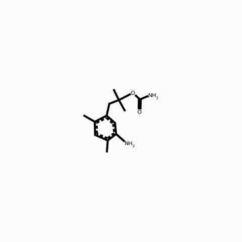 Cc1cc(C)c(CC(C)(C)OC(N)=O)cc1N